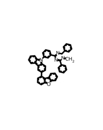 C=N/C(=N\C(=N/Cc1ccccc1)c1cccc(-n2c3ccccc3c3cc(-c4cccc5oc6ccccc6c45)ccc32)c1)c1ccccc1